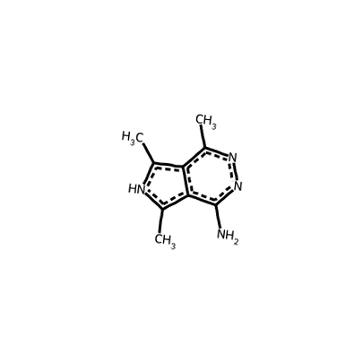 Cc1nnc(N)c2c(C)[nH]c(C)c12